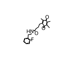 CC1=C(C)C(=O)C(CCCC(=O)NCCc2ccccc2F)=C(C)C1=O